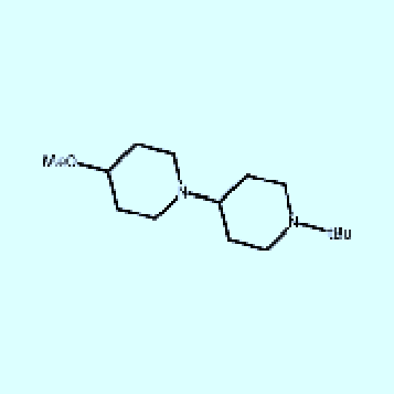 COC1CCN(C2CCN(C(C)(C)C)CC2)CC1